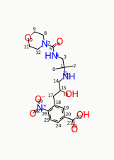 CC(C)(CNC(=O)N1CCOCC1)NCC(O)Cc1cc(C(=O)O)ccc1[N+](=O)[O-]